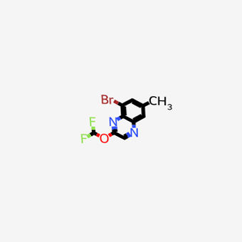 Cc1cc(Br)c2nc(OC(F)F)cnc2c1